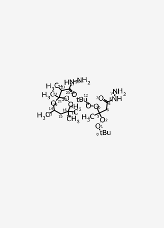 CC(C)(C)OOC(C)(CC(=O)NN)OOC(C)(C)C.CC1CC(C)(C)OOC(C)(C(C)C(=O)NN)O1